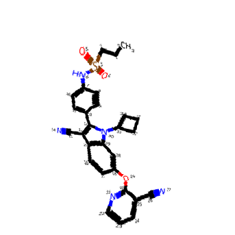 CCCS(=O)(=O)Nc1ccc(-c2c(C#N)c3ccc(Oc4ncccc4C#N)cc3n2C2CCC2)cc1